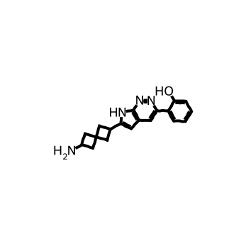 NC1CC2(C1)CC(c1cc3cc(-c4ccccc4O)nnc3[nH]1)C2